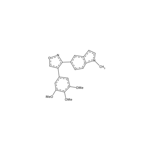 COc1cc(-c2conc2-c2ccc3c(ccn3C)c2)cc(OC)c1OC